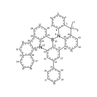 CC1(C)c2ccccc2N2B3c4c(cc(-c5ccccc5)cc4-n4c5c3cccc5c3ccc5ccccc5c34)-c3cccc1c32